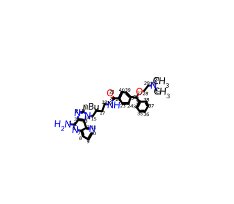 CCCCc1nc2c(N)nc3cccnc3c2n1CCCCNC(=O)c1ccc(C(OCCN(C)C)c2ccccc2)cc1